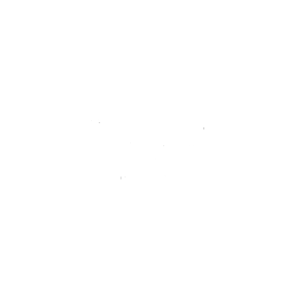 CCCCOC(=O)/C(CCC)=C(\C(=O)OCCCC)C(C)C